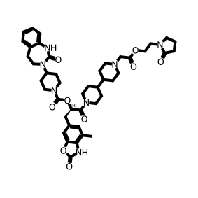 Cc1cc(C[C@@H](OC(=O)N2CCC(N3CCc4ccccc4NC3=O)CC2)C(=O)N2CCC(C3CCN(CC(=O)OCCN4CCCC4=O)CC3)CC2)cc2oc(=O)[nH]c12